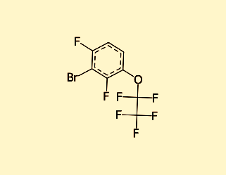 Fc1ccc(OC(F)(F)C(F)(F)F)c(F)c1Br